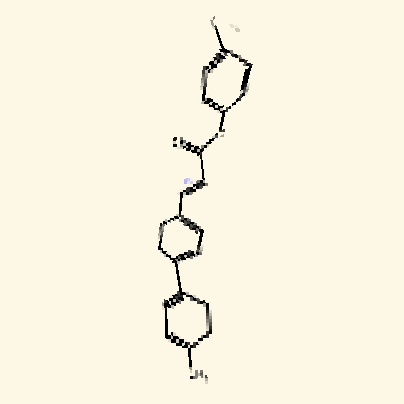 CC1=CC=C(C2=CC=C(/C=C/C(=O)Oc3ccc(C)cc3)CC2)CC1